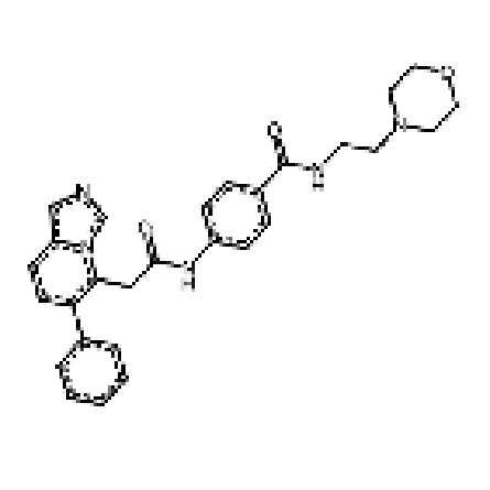 O=C(Cc1c(-c2ccccc2)ccc2cncn12)Nc1ccc(C(=O)NCCN2CCOCC2)cc1